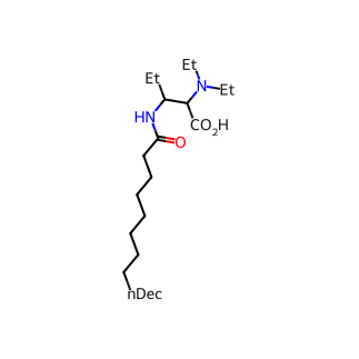 CCCCCCCCCCCCCCCCCC(=O)NC(CC)C(C(=O)O)N(CC)CC